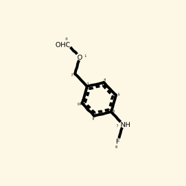 O=COCc1ccc(NF)cc1